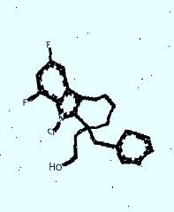 OCCC1(Cc2ccccc2)CCCc2c1n(Cl)c1c(F)cc(F)cc21